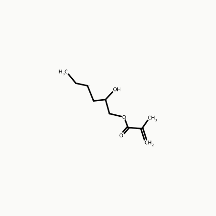 C=C(C)C(=O)OCC(O)C[CH]CC